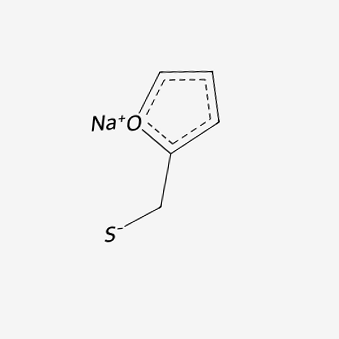 [Na+].[S-]Cc1ccco1